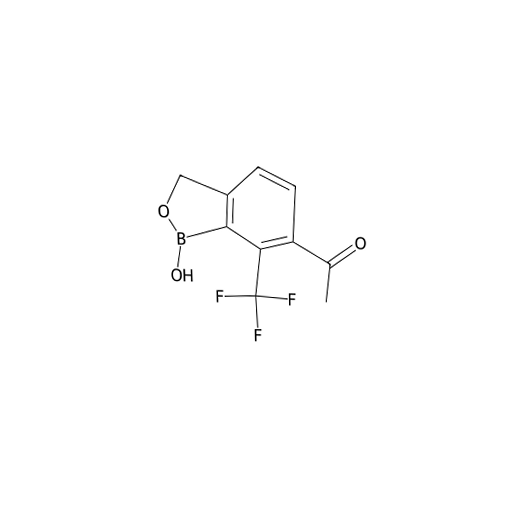 CC(=O)c1ccc2c(c1C(F)(F)F)B(O)OC2